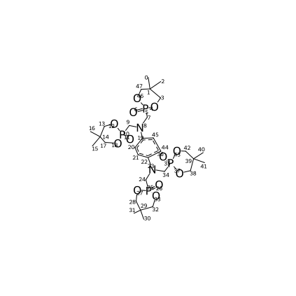 CC1(C)COP(=O)(CN(CP2(=O)OCC(C)(C)CO2)c2ccc(N(CP3(=O)OCC(C)(C)CO3)CP3(=O)OCC(C)(C)CO3)cc2)OC1